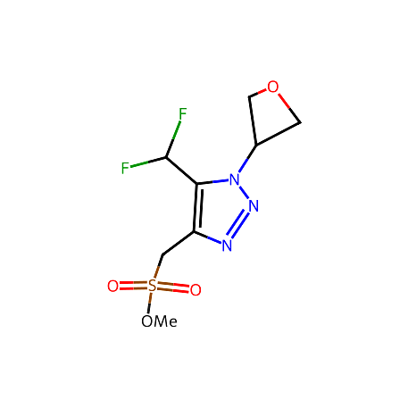 COS(=O)(=O)Cc1nnn(C2COC2)c1C(F)F